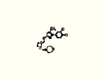 Cc1cc(OC[C@@H]2CC[C@H]2CN2CCOCC2)nn1-c1ccc(Cl)c(Cl)c1